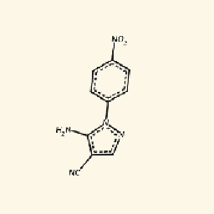 N#Cc1cnn(-c2ccc([N+](=O)[O-])cc2)c1N